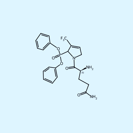 NC(=O)CC[C@H](N)C(=O)N1CC=C(C(F)(F)F)C1P(=O)(Oc1ccccc1)Oc1ccccc1